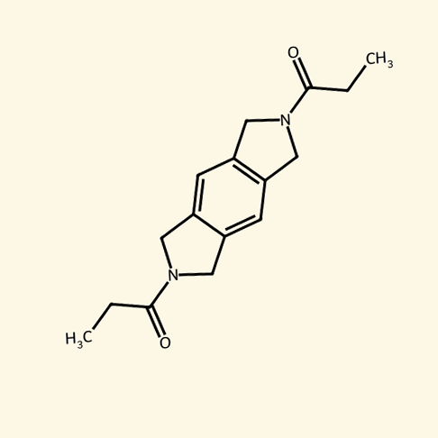 CCC(=O)N1Cc2cc3c(cc2C1)CN(C(=O)CC)C3